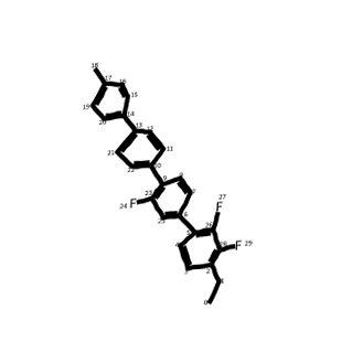 CCc1ccc(-c2ccc(-c3ccc(-c4ccc(C)cc4)cc3)c(F)c2)c(F)c1F